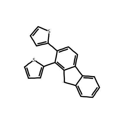 [CH]1c2ccccc2-c2ccc(-c3cccs3)c(-c3cccs3)c21